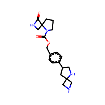 O=C(OCc1ccc(C2CNC3(CNC3)C2)cc1)N1CCCC12CNC2=O